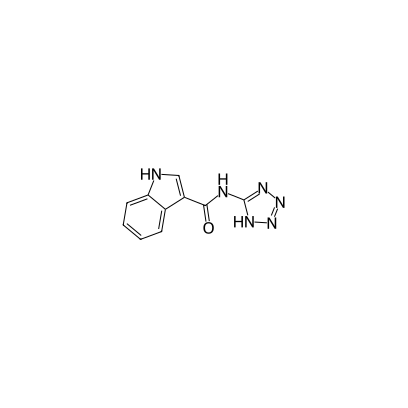 O=C(Nc1nnn[nH]1)c1c[nH]c2ccccc12